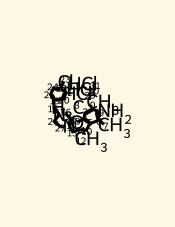 Cc1c(C)c2c(c(C)c1N)CC(C)(CN1CCN(Cc3ccc(Cl)cc3)CC1)O2.Cl.Cl.Cl